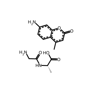 C[C@H](NC(=O)CN)C(=O)O.Cc1cc(=O)oc2cc(N)ccc12